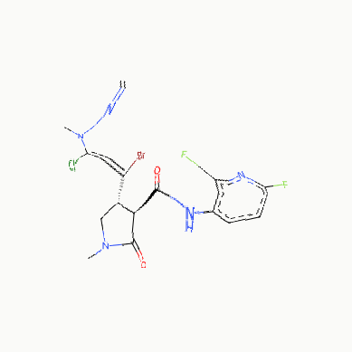 C=NN(C)/C(Cl)=C(\Br)[C@H]1CN(C)C(=O)[C@@H]1C(=O)Nc1ccc(F)nc1F